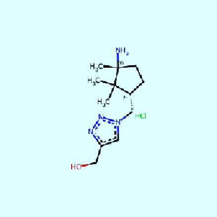 CC1(C)[C@@H](Cn2cc(CO)nn2)CC[C@@]1(C)N.Cl